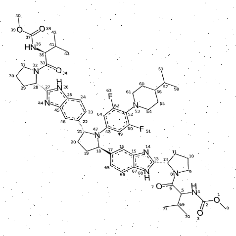 COC(=O)NC(C(=O)N1CCC[C@H]1c1nc2cc([C@H]3CC[C@H](c4ccc5[nH]c([C@@H]6CCCN6C(=O)[C@@H](NC(=O)OC)C(C)C)nc5c4)N3c3cc(F)c(N4CCC(C(C)C)CC4)c(F)c3)ccc2[nH]1)C(C)C